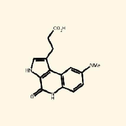 CNc1ccc2[nH]c(=O)c3[nH]cc(CCC(=O)O)c3c2c1